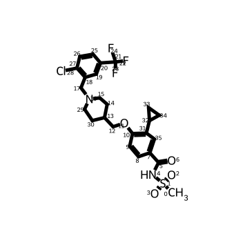 CS(=O)(=O)NC(=O)c1ccc(OCC2CCN(Cc3cc(C(F)(F)F)ccc3Cl)CC2)c(C2CC2)c1